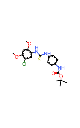 COc1cc(OC)c(NC(=S)Nc2ccc(NC(=O)OC(C)(C)C)cc2)cc1Cl